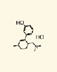 CC1C=C(c2cccc(O)c2)C(CN(C)C)CC1.Cl